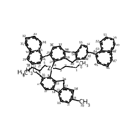 CCC[CH2][Zr]([CH2]CCC)([c]1c(C)ccc2c1Cc1cc(C)ccc1-2)[c]1c(-c2cccc3ccccc23)ccc2c1Cc1cc(-c3cccc4ccccc34)ccc1-2